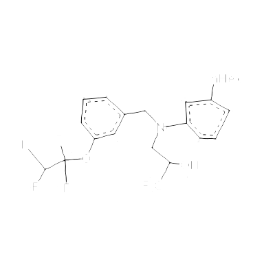 CCCCCCc1cccc(N(Cc2cccc(OC(F)(F)C(F)F)c2)CC(O)C(F)(F)F)c1